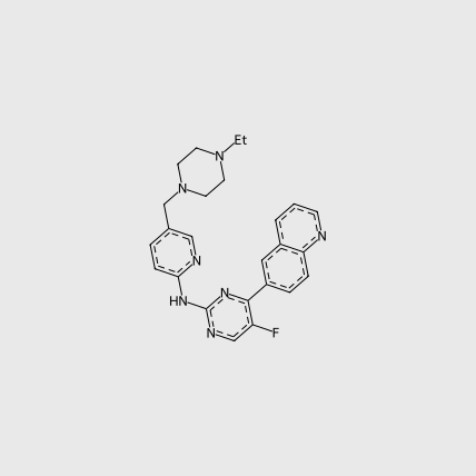 CCN1CCN(Cc2ccc(Nc3ncc(F)c(-c4ccc5ncccc5c4)n3)nc2)CC1